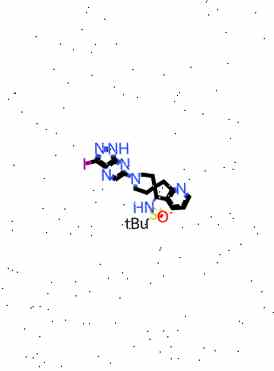 CC(C)(C)[S@@+]([O-])N[C@@H]1c2cccnc2CC12CCN(c1cnc3c(I)n[nH]c3n1)CC2